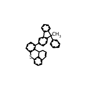 CC1(c2ccccc2)c2ccccc2-c2cc(-c3cccc4c3C3CC=Cc5cccc(c53)S4)ccc21